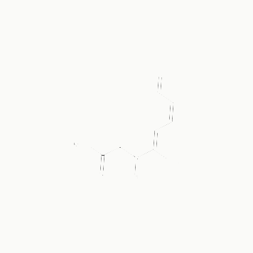 C=C/C=C\C=C(/C)N(P)CC(=N)OC